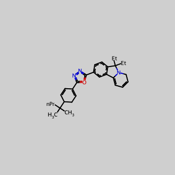 CCCC(C)(C)C1C=CC(c2nnc(-c3ccc4c(c3)C3=CC=CCN3C4(CC)CC)o2)=CC1